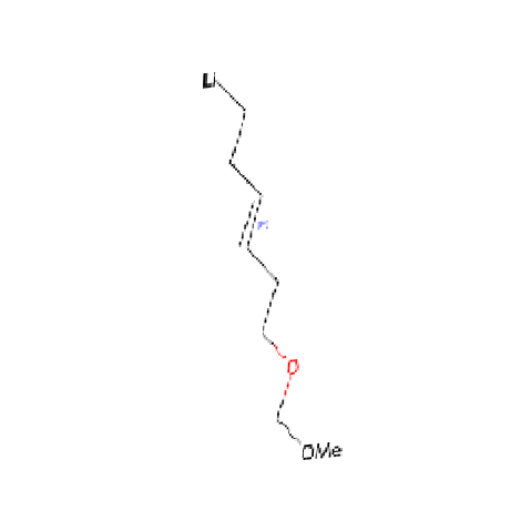 [Li][CH2]C/C=C/CCOCOC